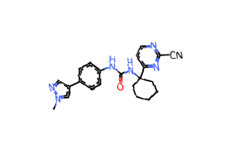 Cn1cc(-c2ccc(NC(=O)NC3(c4ccnc(C#N)n4)CCCCC3)cc2)cn1